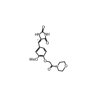 COc1cc(/C=C2/NC(=O)NC2=O)ccc1OCC(=O)N1CCOCC1